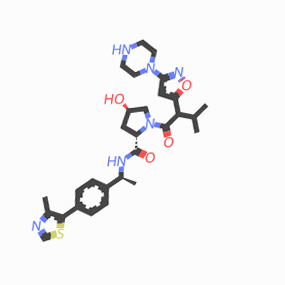 Cc1ncsc1-c1ccc([C@H](C)NC(=O)[C@@H]2C[C@@H](O)CN2C(=O)C(c2cc(N3CCNCC3)no2)C(C)C)cc1